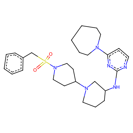 O=S(=O)(Cc1ccccc1)N1CCC(N2CCCC(Nc3nccc(N4CCCCCC4)n3)C2)CC1